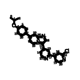 CC(C)Oc1ccc(-c2ccn3c(-c4ccnc(-c5ccnc(Cl)c5)c4)cnc3c2)cc1